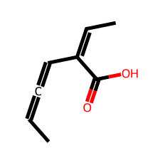 CC=C=CC(=CC)C(=O)O